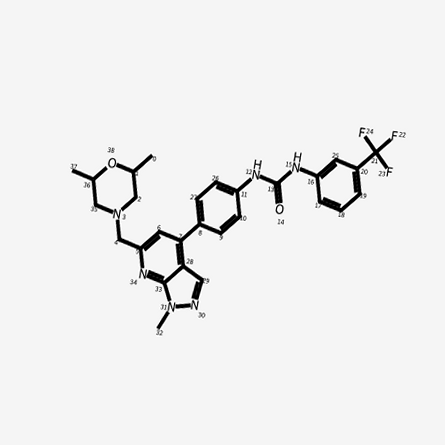 CC1CN(Cc2cc(-c3ccc(NC(=O)Nc4cccc(C(F)(F)F)c4)cc3)c3cnn(C)c3n2)CC(C)O1